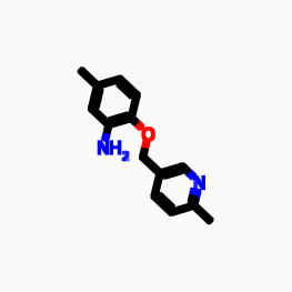 Cc1ccc(OCc2ccc(C)nc2)c(N)c1